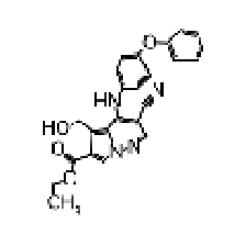 CCOC(=O)c1cn2ncc(C#N)c(Nc3ccc(Oc4ccccc4)cc3)c2c1CO